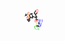 O=C(Nc1ncc(Cl)s1)/C(=C/C1CCOC1)c1ccc(S(=O)(=O)C2CC2)c(C2CC2)c1